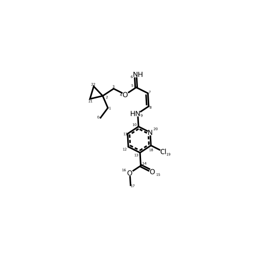 CCC1(COC(=N)/C=C\Nc2ccc(C(=O)OC)c(Cl)n2)CC1